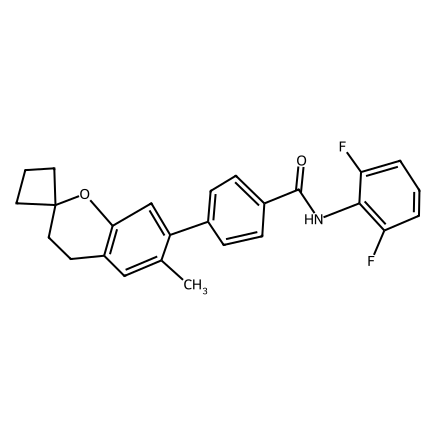 Cc1cc2c(cc1-c1ccc(C(=O)Nc3c(F)cccc3F)cc1)OC1(CCC1)CC2